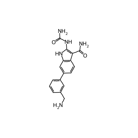 NCc1cccc(-c2ccc3c(C(N)=O)c(NC(N)=O)[nH]c3c2)c1